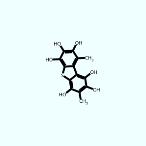 Cc1c(O)c(O)c2c(sc3c(O)c(O)c(O)c(C)c32)c1O